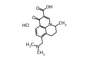 CC1CCc2c(CN(C)C)ccc3c(=O)c(C(=O)O)cn1c23.Cl